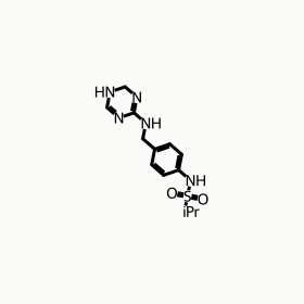 CC(C)S(=O)(=O)Nc1ccc(CNC2=NCNC=N2)cc1